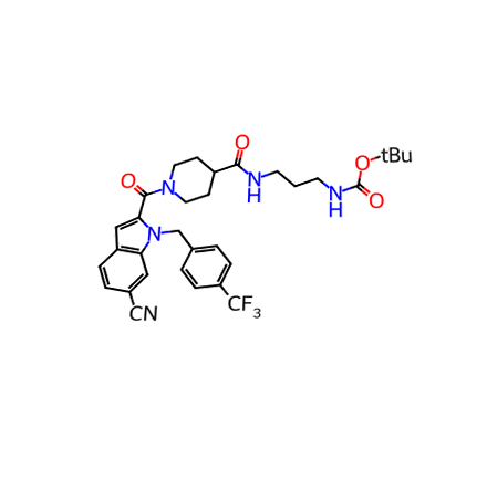 CC(C)(C)OC(=O)NCCCNC(=O)C1CCN(C(=O)c2cc3ccc(C#N)cc3n2Cc2ccc(C(F)(F)F)cc2)CC1